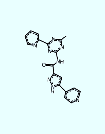 Cc1nc(NC(=O)c2cc(-c3ccncc3)[nH]n2)nc(-c2ccccn2)n1